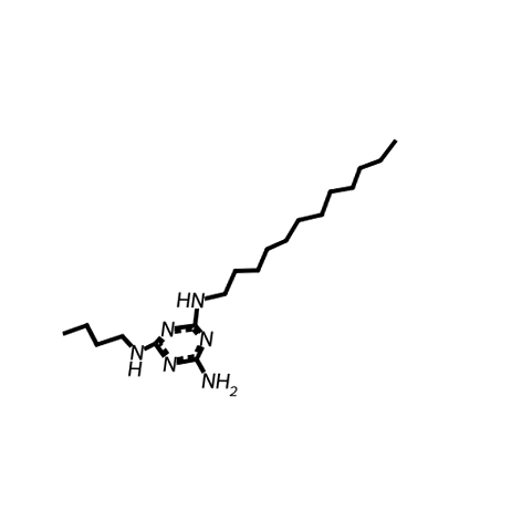 CCCCCCCCCCCCNc1nc(N)nc(NCCCC)n1